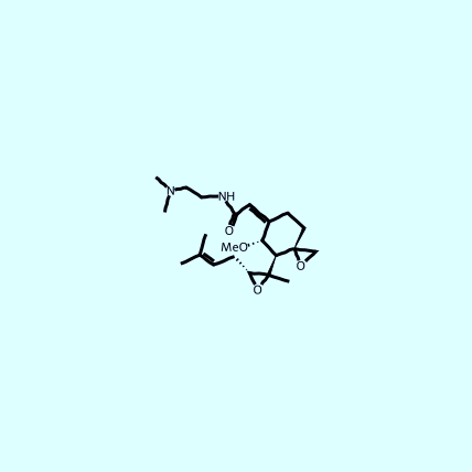 CO[C@@H]1/C(=C\C(=O)NCCN(C)C)CC[C@]2(CO2)[C@H]1C1(C)O[C@@H]1CC=C(C)C